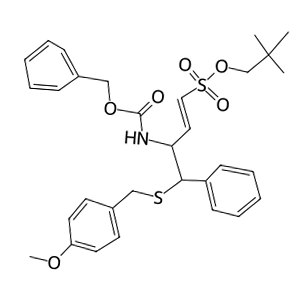 COc1ccc(CSC(c2ccccc2)C(C=CS(=O)(=O)OCC(C)(C)C)NC(=O)OCc2ccccc2)cc1